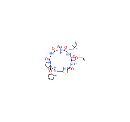 C=CC(C)(C)CC[C@@H]1NC(=O)[C@H]([C@@H](C)OC(C)(C)C=C)NC(=O)[C@@H]2CSC(=N2)[C@H](Cc2ccccc2)NC(=O)[C@@H]2CCCN2C(=O)[C@H](C)NC(=O)[C@H]([C@@H](C)CC)NC1=O